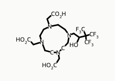 O=C(O)CN1CCN(CC(=O)O)CCN(CC(O)C(C(F)(F)F)(C(F)(F)F)C(F)(F)F)CCN(CC(=O)O)CC1